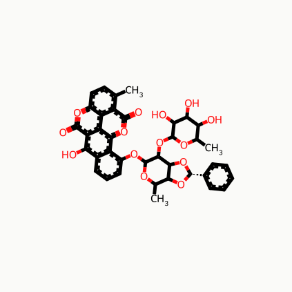 Cc1ccc2oc(=O)c3c(O)c4cccc(OC5OC(C)C6O[C@@H](c7ccccc7)OC6C5OC5OC(C)C(O)C(O)C5O)c4c4oc(=O)c1c2c34